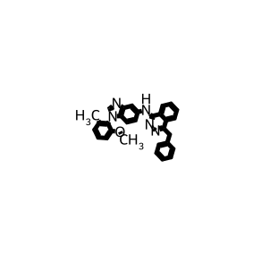 COc1cccc(C)c1-n1cnc2cc(Nc3nnc(Cc4ccccc4)c4ccccc34)ccc21